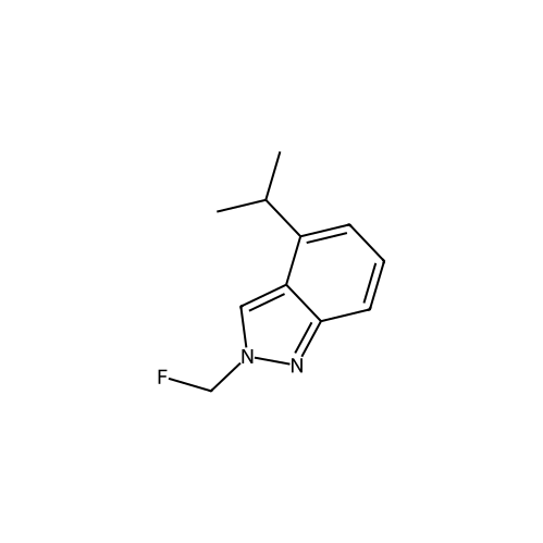 CC(C)c1cccc2nn(CF)cc12